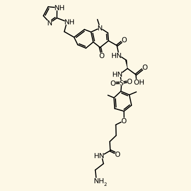 Cc1cc(OCCCC(=O)NCCN)cc(C)c1S(=O)(=O)N[C@@H](CNC(=O)c1cn(C)c2cc(CNc3ncc[nH]3)ccc2c1=O)C(=O)O